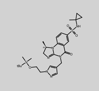 C[C@@H]1CN=C2N(Cc3cnn(CCO[Si](C)(C)C(C)(C)C)c3)C(=O)c3cc(S(=O)(=O)NC4(C)CC4)ccc3N21